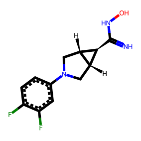 N=C(NO)[C@H]1[C@@H]2CN(c3ccc(F)c(F)c3)C[C@@H]21